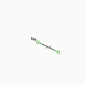 [Cl][Pd][Cl].[Na]